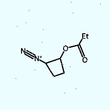 CCC(=O)OC1CCC1[N+]#N